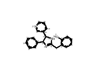 Oc1ccccc1CC1=NC(c2ccccc2)C(c2cccnc2)N1